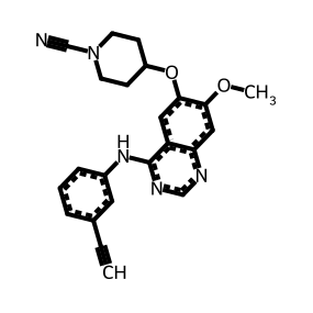 C#Cc1cccc(Nc2ncnc3cc(OC)c(OC4CCN(C#N)CC4)cc23)c1